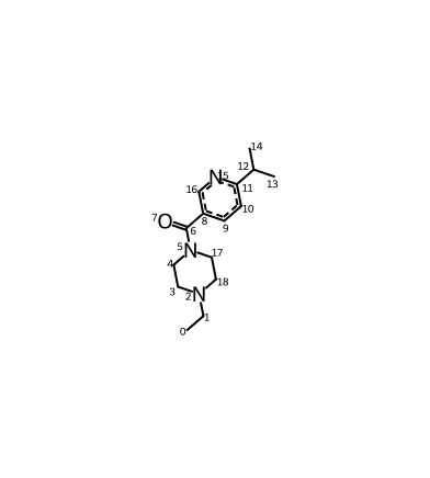 CCN1CCN(C(=O)c2ccc(C(C)C)nc2)CC1